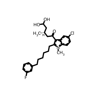 C[C@@H](CC(=O)c1c(CCCCCCc2cccc(F)c2)n(C)c2ccc(Cl)cc12)CC(O)O